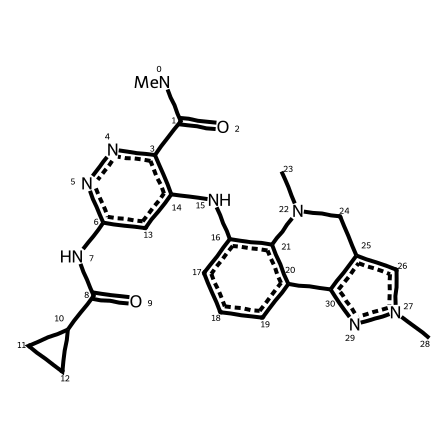 CNC(=O)c1nnc(NC(=O)C2CC2)cc1Nc1cccc2c1N(C)Cc1cn(C)nc1-2